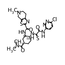 CN1CCc2nc(C(=O)N[C@@H]3CC(C(=O)N(C)C)CC[C@@H]3NC(=S)C(=O)Nc3ccc(Cl)nn3)sc2C1